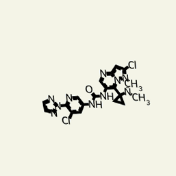 CN(C)C1(c2c(NC(=O)Nc3cnc(-n4nccn4)c(Cl)c3)cnc3cc(Cl)nn23)CC1